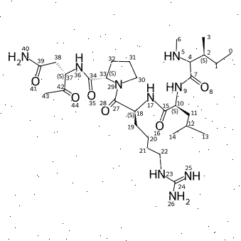 CC[C@H](C)C(NC)C(=O)N[C@@H](CC(C)C)C(=O)N[C@@H](CCCCNC(=N)N)C(=O)N1CCC[C@H]1C(=O)N[C@@H](CC(N)=O)C(C)=O